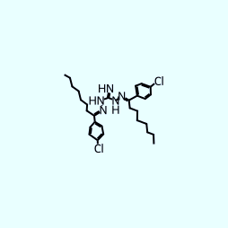 CCCCCCC/C(=N\NC(=N)N/N=C(\CCCCCCC)c1ccc(Cl)cc1)c1ccc(Cl)cc1